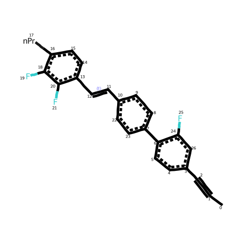 CC#Cc1ccc(-c2ccc(/C=C/c3ccc(CCC)c(F)c3F)cc2)c(F)c1